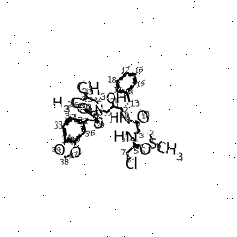 CSC[C@H](NC(=O)CCl)C(=O)N[C@@H](Cc1ccccc1)[C@H](O)CN(CC(C)C)S(=O)(=O)c1ccc2c(c1)OCO2